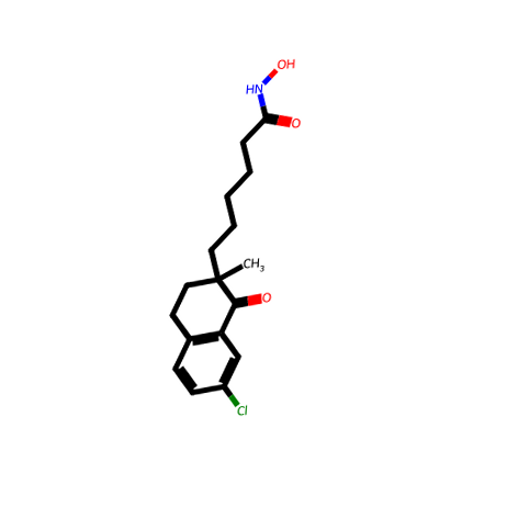 CC1(CCCCCC(=O)NO)CCc2ccc(Cl)cc2C1=O